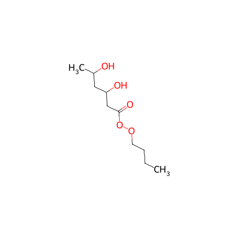 CCCCOOC(=O)CC(O)CC(C)O